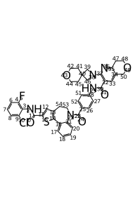 O=C(Nc1c(F)cccc1Cl)c1cc2c(s1)-c1ccccc1N(C(=O)c1ccc(NC(=O)c3cc4c(nc3N3CC5(CCOCC5)C3)CCOC4)cc1)CC2